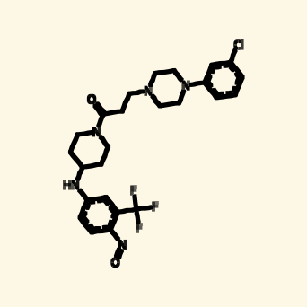 O=Nc1ccc(NC2CCN(C(=O)CCN3CCN(c4cccc(Cl)c4)CC3)CC2)cc1C(F)(F)F